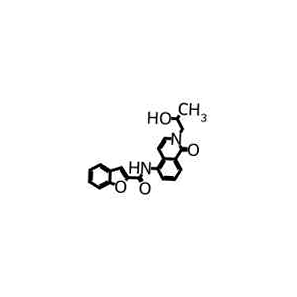 CC(O)Cn1ccc2c(NC(=O)c3cc4ccccc4o3)cccc2c1=O